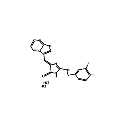 Cl.Cl.O=C1NC(NCc2ccc(F)c(F)c2)=NC1=Cc1c[nH]c2ncccc12